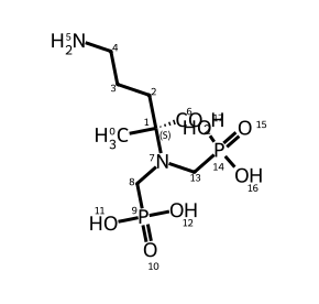 C[C@](CCCN)(C(=O)O)N(CP(=O)(O)O)CP(=O)(O)O